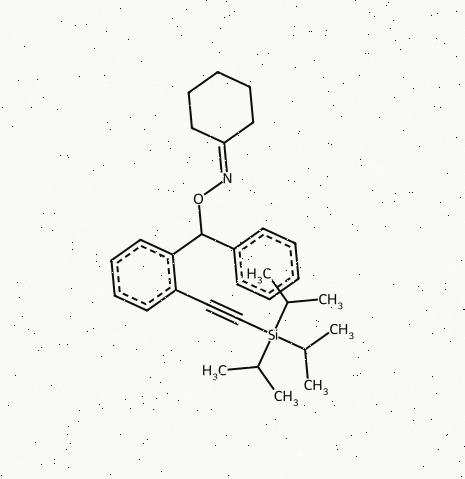 CC(C)[Si](C#Cc1ccccc1C(ON=C1CCCCC1)c1ccccc1)(C(C)C)C(C)C